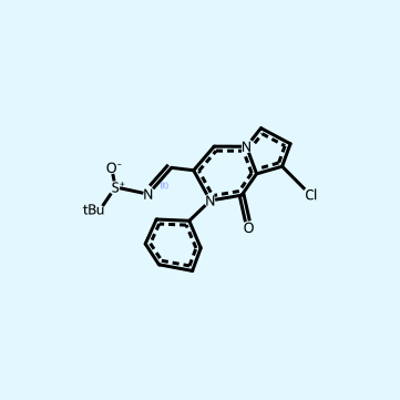 CC(C)(C)[S+]([O-])/N=C/c1cn2ccc(Cl)c2c(=O)n1-c1ccccc1